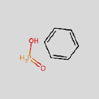 O=[PH2]O.c1ccccc1